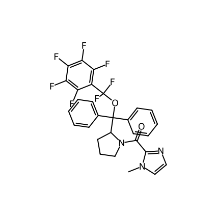 Cn1ccnc1C(=O)N1CCCC1C(OC(F)(F)c1c(F)c(F)c(F)c(F)c1F)(c1ccccc1)c1ccccc1